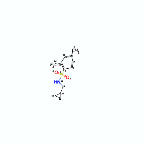 Cc1ccc(S(=O)(=O)NCC2CC2)c(C(F)(F)F)c1